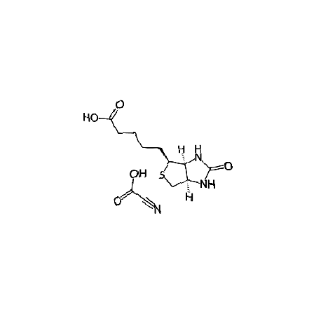 N#CC(=O)O.O=C(O)CCCC[C@@H]1SC[C@@H]2NC(=O)N[C@@H]21